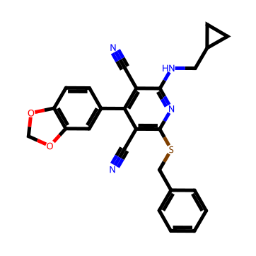 N#Cc1c(NCC2CC2)nc(SCc2ccccc2)c(C#N)c1-c1ccc2c(c1)OCO2